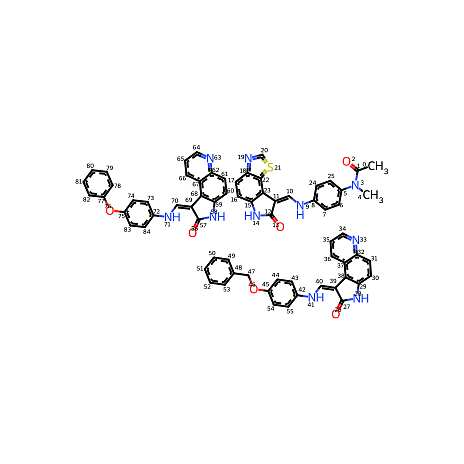 CC(=O)N(C)c1ccc(NC=C2C(=O)Nc3ccc4ncsc4c32)cc1.O=C1Nc2ccc3ncccc3c2C1=CNc1ccc(OCc2ccccc2)cc1.O=C1Nc2ccc3ncccc3c2C1=CNc1ccc(Oc2ccccc2)cc1